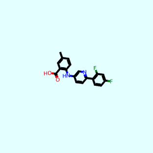 Cc1ccc(Nc2ccc(-c3ccc(F)cc3F)nc2)c(C(=O)O)c1